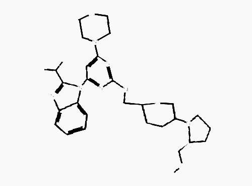 COC[C@@H]1CCCN1C1CCC(CNc2nc(N3CCOCC3)cc(-n3c(C(F)F)nc4ccccc43)n2)CC1